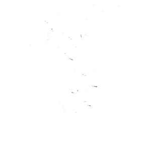 CC[C@H](C)[C@@H]([C@@H](CC(=O)N1CCC[C@H]1[C@H](OC)[C@@H](C)C(=O)NCCc1ccccc1)OC)[N+](C)(C(=O)C1(NC(=O)OC(C)(C)C)COC1)[C@H](C(N)=O)C(C)C